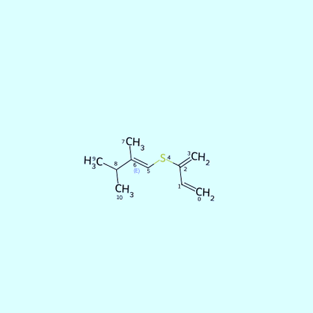 C=CC(=C)S/C=C(\C)C(C)C